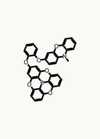 CN1c2ccccc2Oc2cc(Oc3ccccc3Oc3cc4c5c(c3)Oc3cccc6c3B5c3c(cccc3O4)O6)ccc21